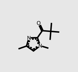 Cc1cn(C)c(C(=O)C(C)(C)C)n1